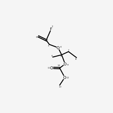 C=C(F)COC(C)(CC)OC(=O)OC